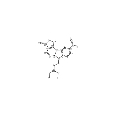 CCN(CC)CCN1c2ccc(C(C)=O)cc2C2C3=C(C=CC21)C(=O)CC3